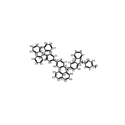 Fc1ccc(-n2c3ccccc3c3cc(N(c4ccc(-c5ccc([Si](c6ccccc6)(c6ccccc6)c6ccccc6)cc5)cc4)c4cccc5ccccc45)ccc32)cc1